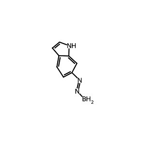 BN=Nc1ccc2cc[nH]c2c1